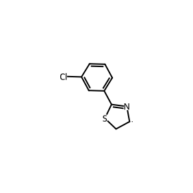 Clc1cccc(C2=N[CH]CS2)c1